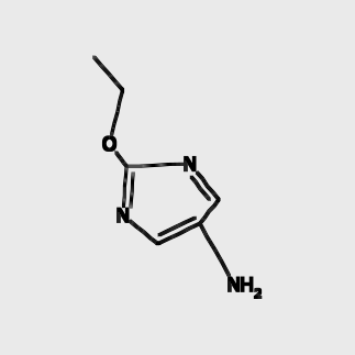 CCOc1ncc(N)cn1